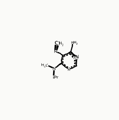 C=Nc1c(N)ncnc1N(C)C(C)C